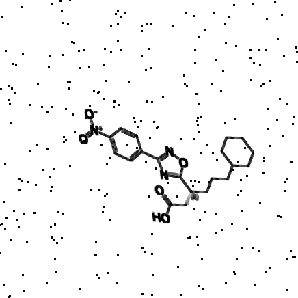 O=C(O)C[C@@H](CCCC1CCCCC1)c1nc(-c2ccc([N+](=O)[O-])cc2)no1